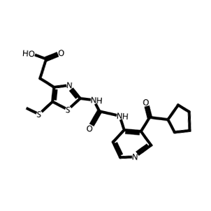 CSc1sc(NC(=O)Nc2ccncc2C(=O)C2CCCC2)nc1CC(=O)O